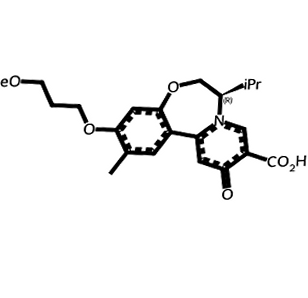 COCCCOc1cc2c(cc1C)-c1cc(=O)c(C(=O)O)cn1[C@H](C(C)C)CO2